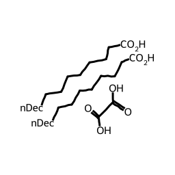 CCCCCCCCCCCCCCCCCC(=O)O.CCCCCCCCCCCCCCCCCC(=O)O.O=C(O)C(=O)O